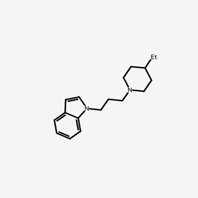 CCC1CCN(CCCn2ccc3ccccc32)CC1